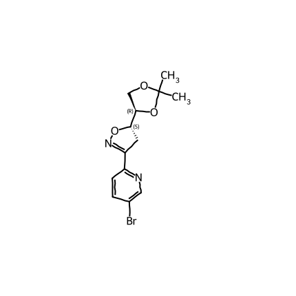 CC1(C)OC[C@H]([C@@H]2CC(c3ccc(Br)cn3)=NO2)O1